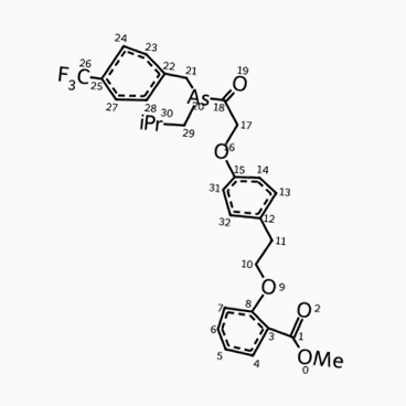 COC(=O)c1ccccc1OCCc1ccc(OCC(=O)[As](Cc2ccc(C(F)(F)F)cc2)CC(C)C)cc1